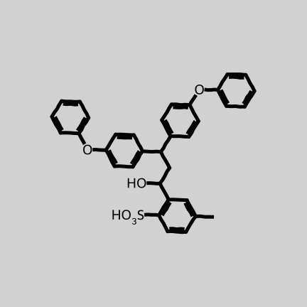 Cc1ccc(S(=O)(=O)O)c(C(O)CC(c2ccc(Oc3ccccc3)cc2)c2ccc(Oc3ccccc3)cc2)c1